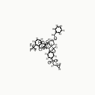 CC(C)(C)[C@]1([C@H](NC(=O)c2cccc(C(F)(F)F)c2Cl)c2ccc(S(=O)(=O)CC3CC3)cc2)C[C@@H](OCc2ccccc2)CN1C(=O)O